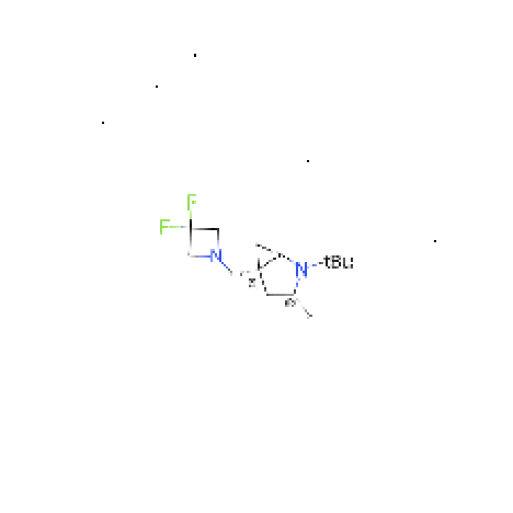 C[C@@H]1C[C@@]2(CN3CC(F)(F)C3)CC2N1C(C)(C)C